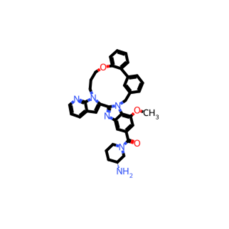 COc1cc(C(=O)N2CCC[C@@H](N)C2)cc2nc3n(c12)Cc1cccc(c1)-c1ccccc1OCCCn1c-3cc2cccnc21